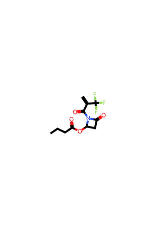 C=C(C(=O)N1C(=O)CC1OC(=O)CCC)C(F)(F)F